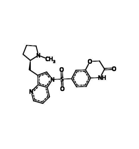 CN1CCC[C@@H]1Cc1cn(S(=O)(=O)c2ccc3c(c2)OCC(=O)N3)c2cccnc12